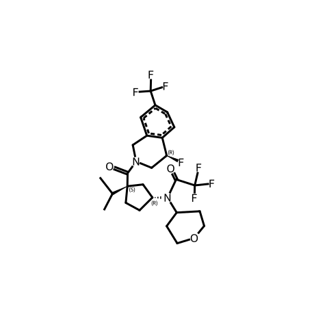 CC(C)[C@]1(C(=O)N2Cc3cc(C(F)(F)F)ccc3[C@@H](F)C2)CC[C@@H](N(C(=O)C(F)(F)F)C2CCOCC2)C1